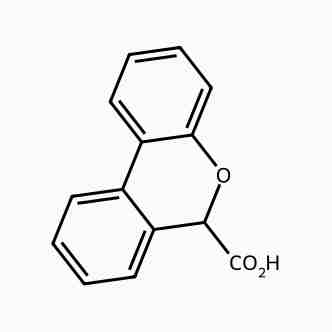 O=C(O)C1Oc2ccccc2-c2ccccc21